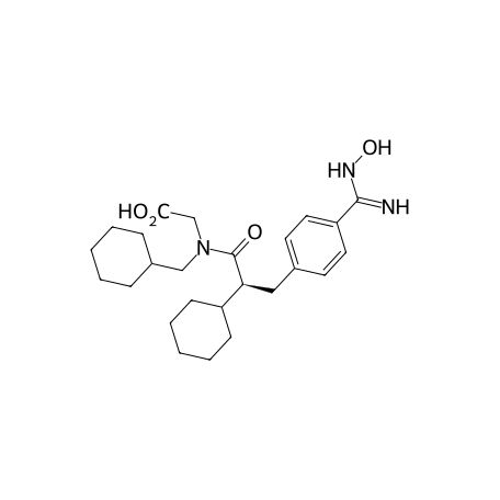 N=C(NO)c1ccc(C[C@H](C(=O)N(CC(=O)O)CC2CCCCC2)C2CCCCC2)cc1